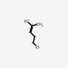 CC/C(C)=C/CC[O]